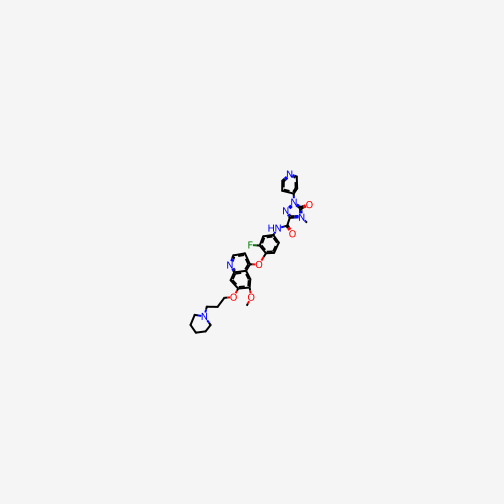 COc1cc2c(Oc3ccc(NC(=O)c4nn(-c5ccncc5)c(=O)n4C)cc3F)ccnc2cc1OCCCN1CCCCC1